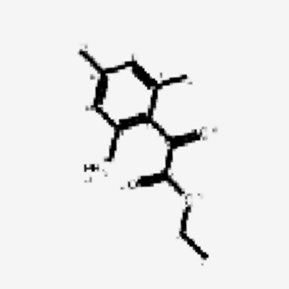 CCOC(=O)C(=O)c1c(C)cc(C)cc1C.P